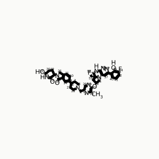 Cc1nc(CN2CCC(c3ccc4c(c3)C(=O)N([C@H]3CCC(O)NC3=O)C4)CC2)cnc1O[C@H]1CN2c3cc(-c4cccc(F)c4O)nnc3NC[C@@]2(CF)C1